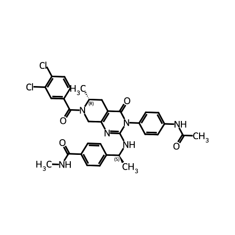 CNC(=O)c1ccc([C@H](C)Nc2nc3c(c(=O)n2-c2ccc(NC(C)=O)cc2)C[C@@H](C)N(C(=O)c2ccc(Cl)c(Cl)c2)C3)cc1